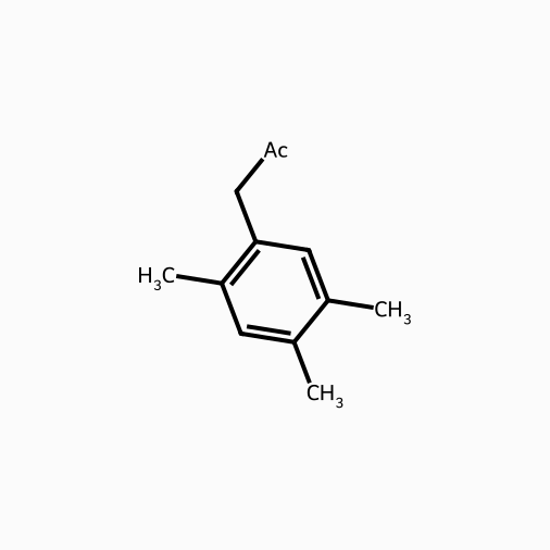 CC(=O)Cc1cc(C)c(C)cc1C